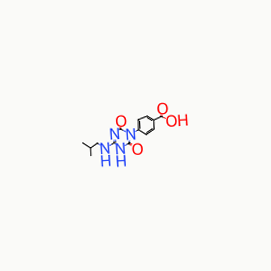 CC(C)CNc1nc(=O)n(-c2ccc(C(=O)O)cc2)c(=O)[nH]1